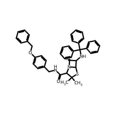 CC1(C)SC2C(NC(c3ccccc3)(c3ccccc3)c3ccccc3)C(=O)N2C1C(=O)NCc1ccc(OCc2ccccc2)cc1